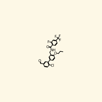 CCCOc1ccc(-c2cc(C=O)ccc2Cl)cc1CNC(=O)c1ccc(C(F)(F)F)cc1F